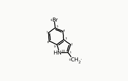 [CH2]c1cc2cc(Br)ccc2[nH]1